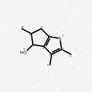 Cc1sc2c(c1C)C(O)C(C)C2